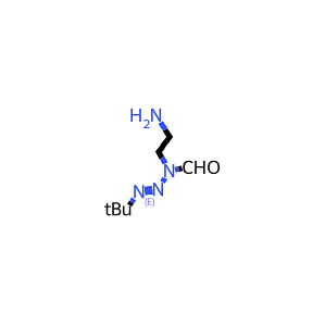 CC(C)(C)/N=N/N(C=O)CCN